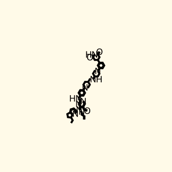 C=CCn1c(=O)c2cnc(Nc3ccc(N4CCC(CNC5CCN(c6cccc(C7CC(=O)NC(=O)C7)c6)CC5)CC4)cc3)nc2n1-c1ccc2c(n1)C(CC)CC2